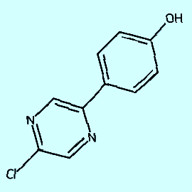 Oc1ccc(-c2cnc(Cl)cn2)cc1